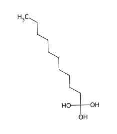 CCCCCCCCCCC(O)(O)O